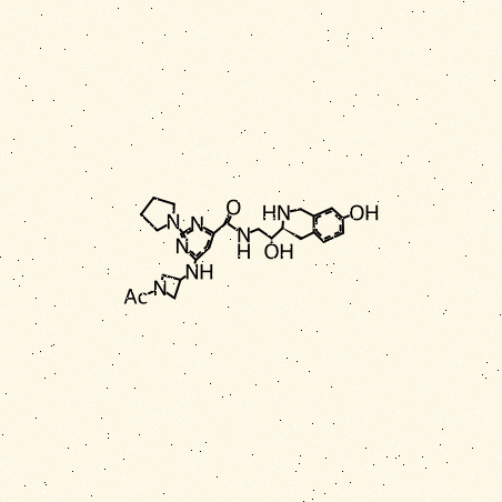 CC(=O)N1CC(Nc2cc(C(=O)NC[C@@H](O)[C@@H]3Cc4ccc(O)cc4CN3)nc(N3CCCC3)n2)C1